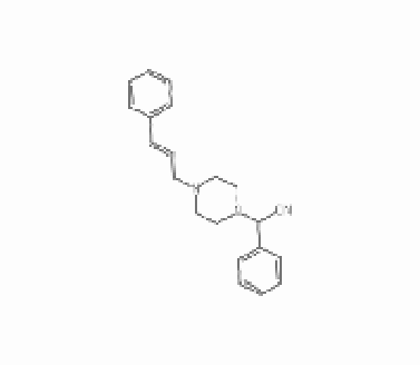 N#CC(c1ccccc1)N1CCN(C/C=C/c2ccccc2)CC1